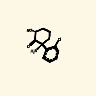 N[C@]1(c2ccccc2Cl)CCC[C@@H](O)C1=O